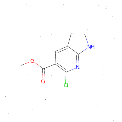 COC(=O)c1cc2cc[nH]c2nc1Cl